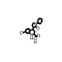 O=C(O)C1C/C(=C2/CCN(c3ccccc3)C2=O)c2ccc(Cl)cc2N1